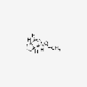 CCO[C@H]1C[C@H]2C[C@@H]1[C@@H]1CCC[C@H]21